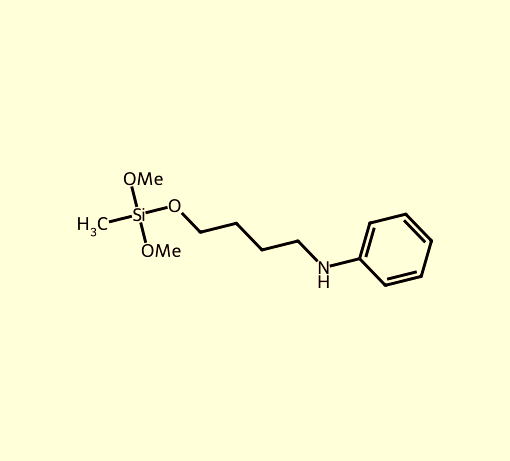 CO[Si](C)(OC)OCCCCNc1ccccc1